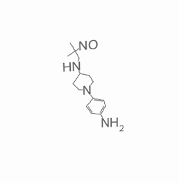 CC(C)(CNC1CCN(c2ccc(N)cc2)CC1)N=O